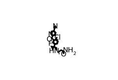 C[C@H](CC(N)=O)NCC1(c2ccc(Cl)c(C(=O)c3ccc(C#N)cn3)c2F)CC1